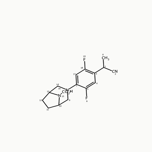 CC(C#N)c1cc(F)c(N2CC3CCC(C2)N3C(=O)O)cc1F